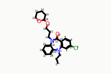 [CH2]CCN1c2cc(Cl)ccc2C(=O)N(CCCOC2CCCCO2)c2ccccc21